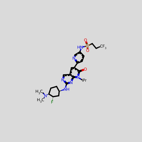 CC(C)n1c(=O)c(-c2ccc(NS(=O)(=O)CCC(F)(F)F)cn2)cc2cnc(N[C@@H]3CC[C@@H](N(C)C)[C@@H](F)C3)nc21